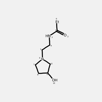 CCC(=O)NCCN1CCC(O)C1